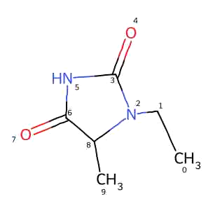 CCN1C(=O)NC(=O)C1C